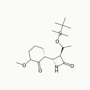 COC1CCC[C@H]([C@H]2NC(=O)[C@@H]2C(C)O[Si](C)(C)C(C)(C)C)C1=O